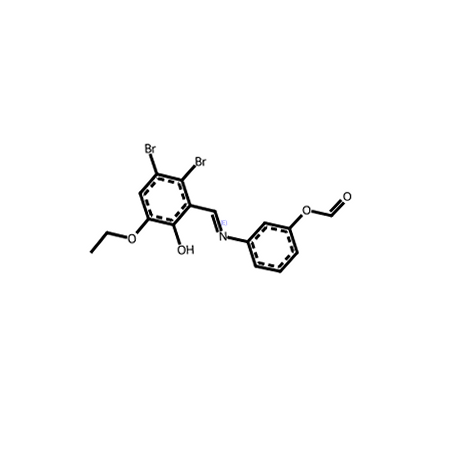 CCOc1cc(Br)c(Br)c(/C=N/c2cccc(OC=O)c2)c1O